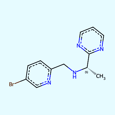 C[C@H](NCc1ccc(Br)cn1)c1ncccn1